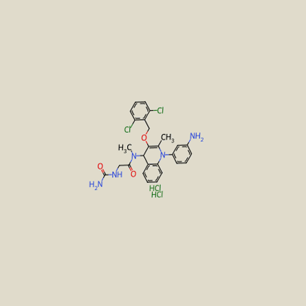 CC1=C(OCc2c(Cl)cccc2Cl)C(N(C)C(=O)CNC(N)=O)c2ccccc2N1c1cccc(N)c1.Cl.Cl